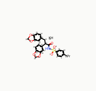 CC(C)c1ccc(S(=O)(=O)NC(=O)C(Cc2ccc3c(c2)OCO3)c2ccc3c(c2)OCO3)cc1.[KH]